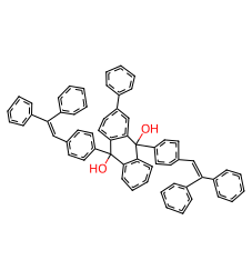 OC1(c2ccc(C=C(c3ccccc3)c3ccccc3)cc2)c2ccccc2C(O)(c2ccc(C=C(c3ccccc3)c3ccccc3)cc2)c2cc(-c3ccccc3)ccc21